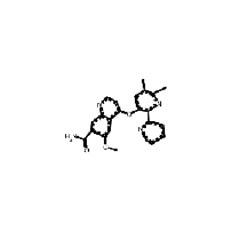 COc1cc2c(Oc3cc(C)c(C)nc3-c3ccccn3)ccnc2cc1C(N)=O